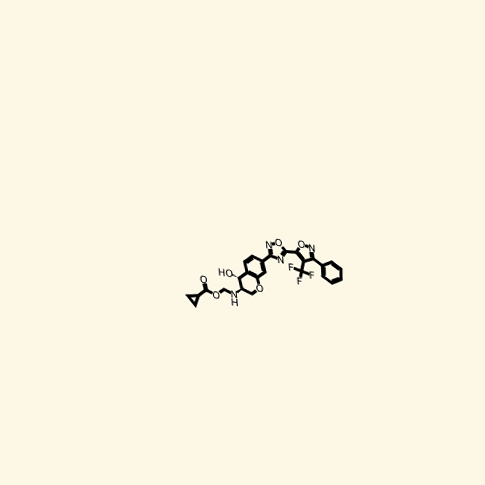 O=C(OCN[C@@H]1COc2cc(-c3noc(-c4onc(-c5ccccc5)c4C(F)(F)F)n3)ccc2[C@H]1O)C1CC1